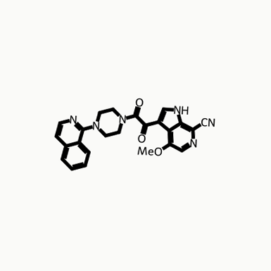 COc1cnc(C#N)c2[nH]cc(C(=O)C(=O)N3CCN(c4nccc5ccccc45)CC3)c12